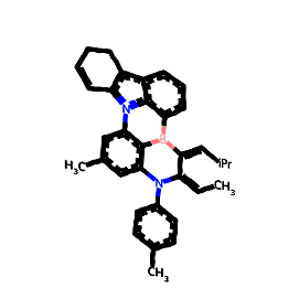 C/C=C1\C(=C/C(C)C)B2c3c(cc(C)cc3-n3c4c(c5cccc2c53)CCC=C4)N1c1ccc(C)cc1